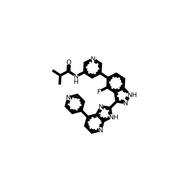 CC(C)C(=O)Nc1cncc(-c2ccc3[nH]nc(-c4nc5c(-c6ccncc6)ccnc5[nH]4)c3c2F)c1